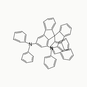 c1ccc(N(c2ccccc2)c2cc3c(c(N(c4ccccc4)c4ccccc4)c2)C2(c4ccccc4-3)c3ccccc3-c3c2ccc2ccccc32)cc1